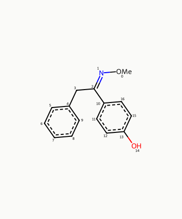 CO/N=C(/Cc1ccccc1)c1ccc(O)cc1